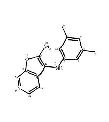 Cc1cc(C)cc(Nc2c(N)oc3cnccc23)c1